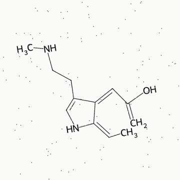 C=C(O)/C=c1/c(CCNC)c[nH]/c1=C/C